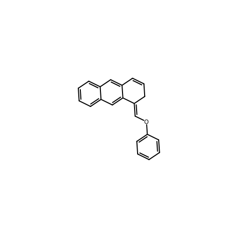 C1=Cc2cc3ccccc3cc2C(=COc2ccccc2)C1